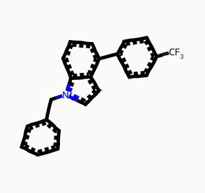 FC(F)(F)c1ccc(-c2cccc3c2[c]cn3Cc2ccccc2)cc1